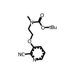 CN(CCOc1cccnc1C#N)C(=O)OC(C)(C)C